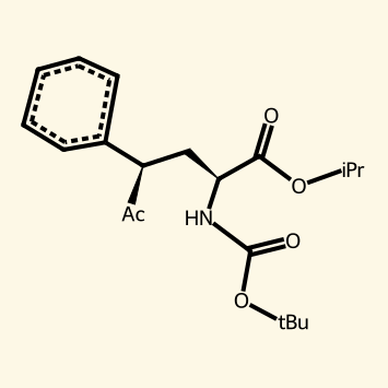 CC(=O)[C@H](C[C@H](NC(=O)OC(C)(C)C)C(=O)OC(C)C)c1ccccc1